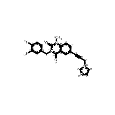 Cn1c(=O)n(Cc2ccc(F)c(F)c2)c(=O)c2cc(C#CCn3ccnc3)ccc21